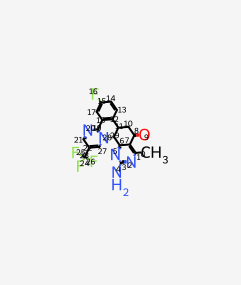 Cc1nc(N)nc2c1C(=O)CC(c1ccc(F)cc1-c1ncc(C(F)(F)F)cn1)C2